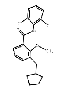 COc1c(CC2CCCC2)cccc1C(=O)Nc1c(Cl)cncc1Cl